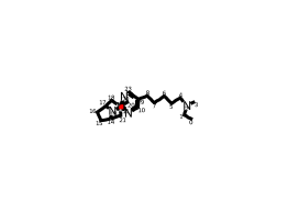 CCN(C)CCCCCc1cnc(N2C3CCC2CN(C)C3)nc1